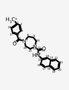 Cc1ccc(C(=O)N2CCCN(C(=O)Nc3ccc4ccccc4c3)CC2)cc1